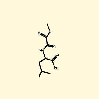 COC(=O)C(=O)NC(CC(C)C)C(=O)O